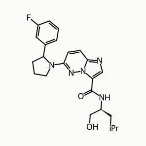 CC(C)C[C@@H](CO)NC(=O)c1cnc2ccc(N3CCCC3c3cccc(F)c3)nn12